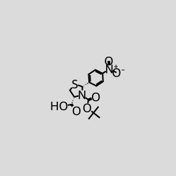 CC(C)(C)OC(=O)N1[C@@H](c2ccc([N+](=O)[O-])cc2)SC[C@H]1C(=O)O